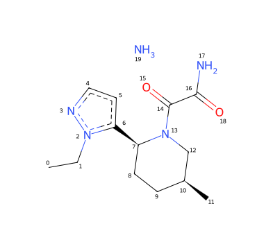 CCn1nccc1[C@@H]1CC[C@H](C)CN1C(=O)C(N)=O.N